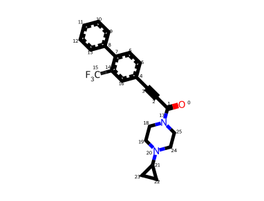 O=C(C#Cc1ccc(-c2ccccc2)c(C(F)(F)F)c1)N1CCN(C2CC2)CC1